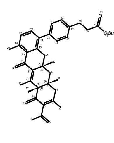 C=C(C)C1=C(C)C[C@@]2(C)C[C@@]3(C)Cc4c(-c5ccc(CCC(=O)OCC(C)C)cc5)ccc(C)c4C(=C)C3=C(C)[C@@]2(C)C1=C